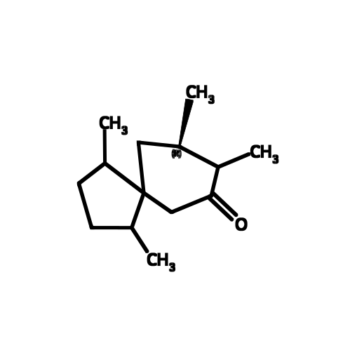 CC1C(=O)CC2(C[C@H]1C)C(C)CCC2C